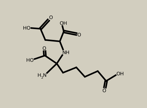 NC(CCCCC(=O)O)(NC(CC(=O)O)C(=O)O)C(=O)O